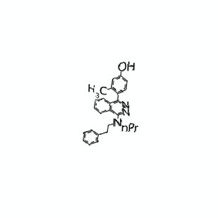 CCCN(CCc1ccccc1)c1nnc(-c2ccc(O)cc2C)c2ccccc12